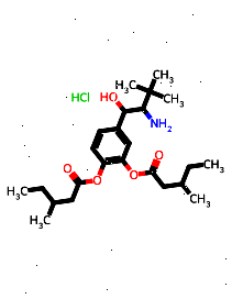 CCC(C)CC(=O)Oc1ccc(C(O)C(N)C(C)(C)C)cc1OC(=O)CC(C)CC.Cl